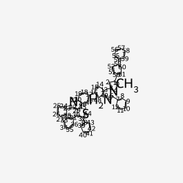 CC(/C=C(\N=C(/N)c1ccccc1)c1ccc(-c2ccc3nc(-c4ccccc4)c4c(-c5ccccc5)c(-c5ccccc5)sc4c3c2)cc1)c1ccc(-c2ccccc2)cc1